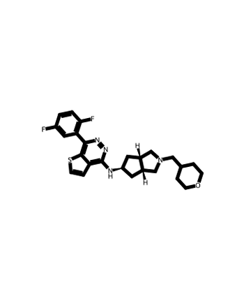 Fc1ccc(F)c(-c2nnc(N[C@H]3C[C@@H]4CN(CC5CCOCC5)C[C@@H]4C3)c3ccsc23)c1